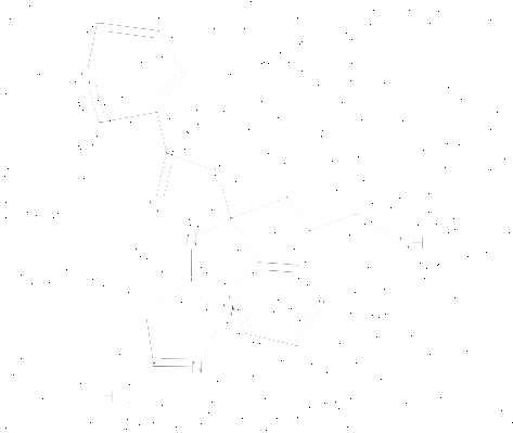 Cc1nnc(N2N=C(c3cccnc3)SC2(CCCN)c2ccccc2)s1